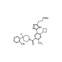 COCCc1nnc(-c2cc(C(=O)N3CCC(F)(c4ccccc4C#N)CC3)c(C)cc2C2CCC2)[nH]1